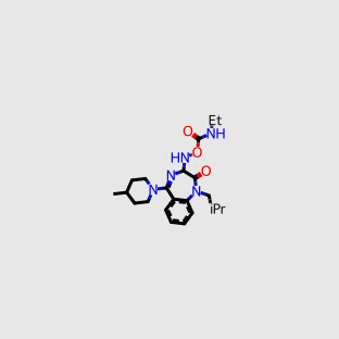 CCNC(=O)ONC1N=C(N2CCC(C)CC2)c2ccccc2N(CC(C)C)C1=O